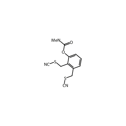 CNC(=O)Oc1cccc(CSC#N)c1CSC#N